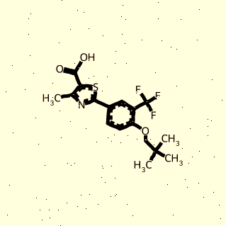 Cc1nc(-c2ccc(OCC(C)(C)C)c(C(F)(F)F)c2)sc1C(=O)O